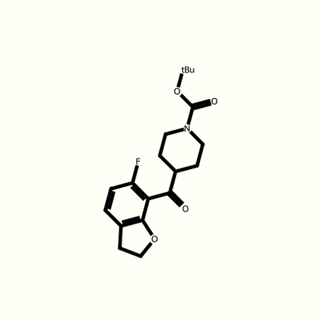 CC(C)(C)OC(=O)N1CCC(C(=O)c2c(F)ccc3c2OCC3)CC1